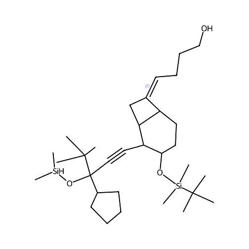 C[SiH](C)OC(C#CC1C(O[Si](C)(C)C(C)(C)C)CCC2/C(=C\CCCO)CC21)(C1CCCC1)C(C)(C)C